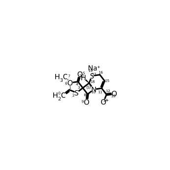 C=CSC1(C(=O)OC)C(=O)N2C(C(=O)[O-])=CCS[C@H]21.[Na+]